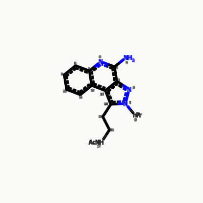 CCCn1nc2c(N)nc3ccccc3c2c1CCNC(C)=O